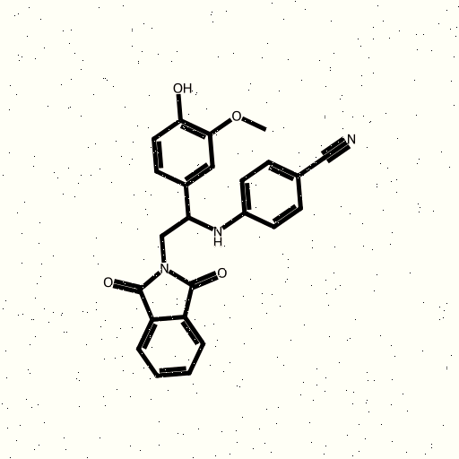 COc1cc(C(CN2C(=O)c3ccccc3C2=O)Nc2ccc(C#N)cc2)ccc1O